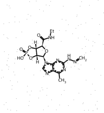 C=NNc1nc(C)c2ncn([C@@H]3O[C@H](C(=O)NCC)[C@H]4OP(=O)(O)O[C@H]43)c2n1